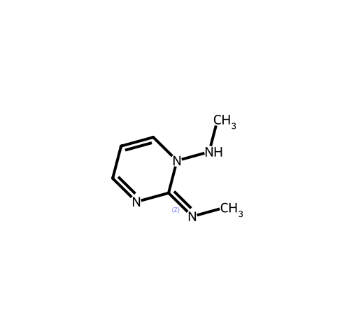 C/N=c1/ncccn1NC